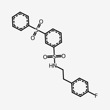 O=S(=O)(NCCc1ccc(F)cc1)c1cccc(S(=O)(=O)c2ccccc2)c1